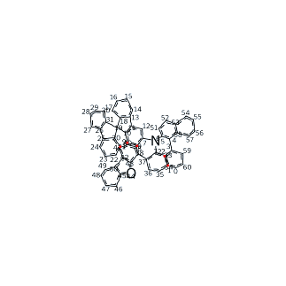 c1ccc(-c2c(N(c3ccc4c(c3)-c3ccccc3C43c4ccccc4-c4ccccc43)c3ccccc3-c3cccc4c3oc3ccccc34)ccc3ccccc23)cc1